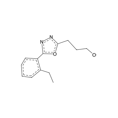 CCc1ccccc1-c1nnc(CCC[O])o1